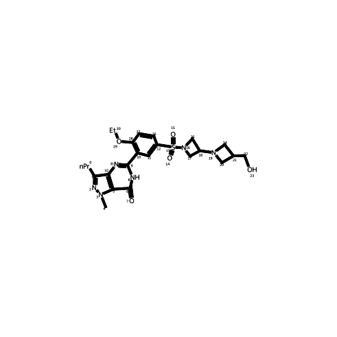 CCCc1nn(C)c2c(=O)[nH]c(-c3cc(S(=O)(=O)N4CC(N5CC(CO)C5)C4)ccc3OCC)nc12